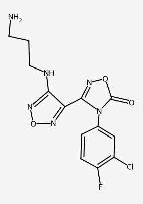 NCCCNc1nonc1-c1noc(=O)n1-c1ccc(F)c(Cl)c1